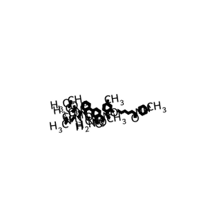 COc1c(-c2cccc3c2nc(NCCN(C)C)n3C(=O)OC(C)(C)C)ccc(C(=O)N(C)c2ccc(C)cc2OCCCCCC(=O)N2CCN(C)CC2)c1C(N)=O